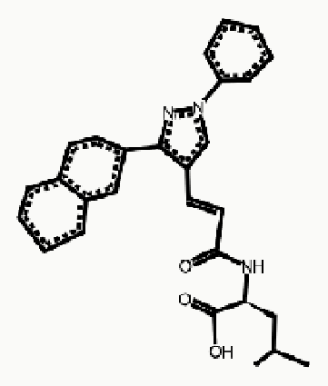 CC(C)C[C@H](NC(=O)/C=C/c1cn(-c2ccccc2)nc1-c1ccc2ccccc2c1)C(=O)O